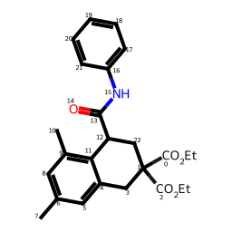 CCOC(=O)C1(C(=O)OCC)Cc2cc(C)cc(C)c2C(C(=O)Nc2ccccc2)C1